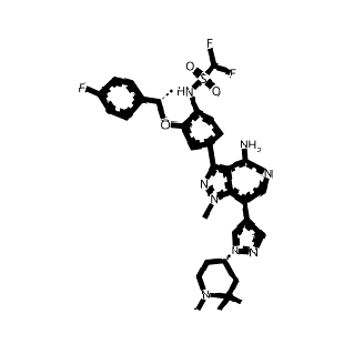 C[C@H](Oc1cc(-c2nn(C)c3c(-c4cnn([C@H]5CCN(C)C(C)(C)C5)c4)cnc(N)c23)ccc1NS(=O)(=O)C(F)F)c1ccc(F)cc1